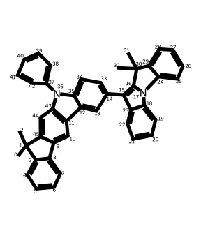 CC1(C)c2ccccc2-c2cc3c4cc(-c5c6n(c7ccccc57)-c5ccccc5C6(C)C)ccc4n(-c4ccccc4)c3cc21